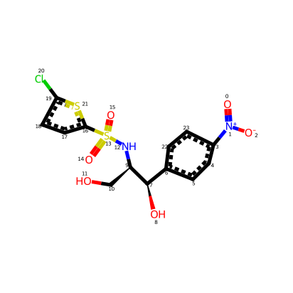 O=[N+]([O-])c1ccc([C@@H](O)[C@@H](CO)NS(=O)(=O)c2ccc(Cl)s2)cc1